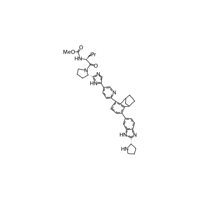 COC(=O)N[C@H](C(=O)N1CCC[C@H]1c1ncc(-c2ccc(-c3ccc(-c4ccc5nc([C@@H]6CCCN6)[nH]c5c4)c4c3C3CCC4C3)nc2)[nH]1)C(C)C